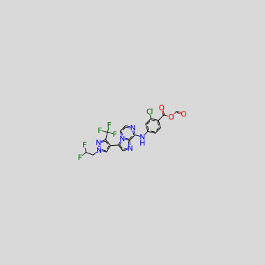 O=COC(=O)c1ccc(Nc2nccn3c(-c4cn(CC(F)F)nc4C(F)(F)F)cnc23)cc1Cl